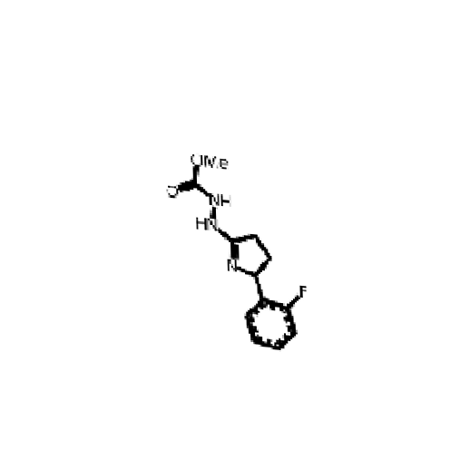 COC(=O)NNC1=NC(c2ccccc2F)CC1